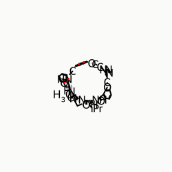 CC(C)C[C@H]1NC(=O)c2ccccc2OCc2cn(nn2)CCOc2ccc(cc2)CCNC(=O)[C@H](Cc2ccccc2)N(C)C(=O)[C@H]2CCCN2C1=O